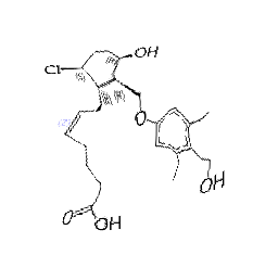 Cc1cc(OC[C@H]2[C@@H](C/C=C\CCCC(=O)O)[C@@H](Cl)C[C@H]2O)cc(C)c1CO